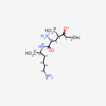 CCCCCCCCCCCC(=O)C(C[C@H](N)C(=O)N[C@@H](CCCCN)C(=O)O)C(=O)O